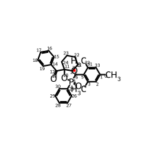 Cc1cc(C)c(C(=O)P(=O)(OC2(C(=O)c3ccccc3)CCCCC2)c2ccccc2)c(C)c1